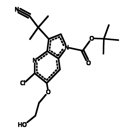 CC(C)(C)OC(=O)n1cc(C(C)(C)C#N)c2nc(Cl)c(OCCO)cc21